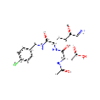 CC(=O)N[C@@H](CC(=O)O)C(=O)N[C@@H](CCC(=O)C=N)C(=O)NCc1ccc(Cl)cc1